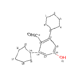 O=Cc1c(C2CCCCC2)cc(O)cc1C1CCCCC1